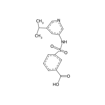 CC(C)c1cncc(NS(=O)(=O)c2cccc(C(=O)O)c2)c1